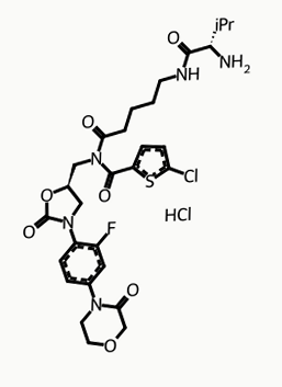 CC(C)[C@H](N)C(=O)NCCCCC(=O)N(C[C@H]1CN(c2ccc(N3CCOCC3=O)cc2F)C(=O)O1)C(=O)c1ccc(Cl)s1.Cl